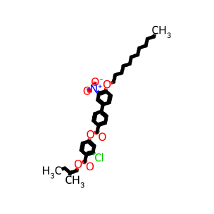 CCCCCCCCCCCCOc1ccc(-c2ccc(C(=O)Oc3ccc(C(=O)OCC(C)CC)c(Cl)c3)cc2)cc1[N+](=O)[O-]